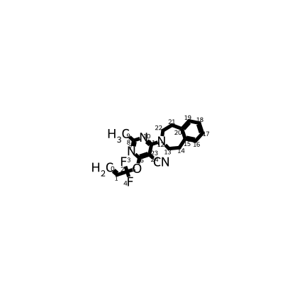 C=CC(F)(F)Oc1nc(C)nc(N2CCc3ccccc3CC2)c1C#N